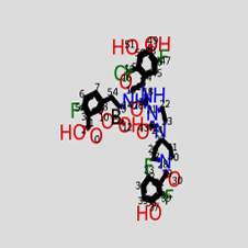 O=C(O)c1c(F)ccc2c1OB(O)C(NC(=O)C(NC(=O)N1CCN(C3CCN(C(=O)c4c(F)ccc(O)c4F)CC3)C1=O)c1cc(F)c(O)c(O)c1Cl)C2